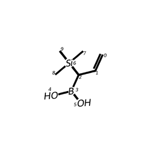 C=CC(B(O)O)[Si](C)(C)C